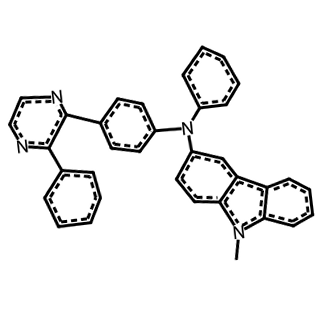 Cn1c2ccccc2c2cc(N(c3ccccc3)c3ccc(-c4nccnc4-c4ccccc4)cc3)ccc21